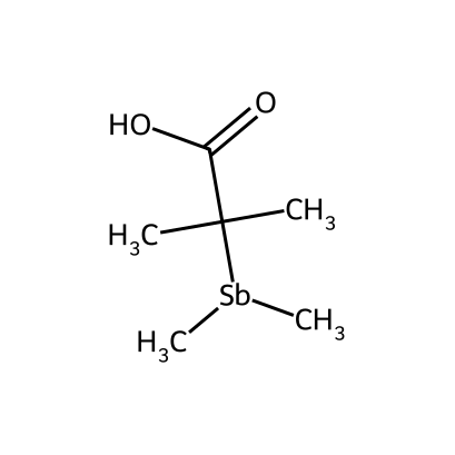 [CH3][Sb]([CH3])[C](C)(C)C(=O)O